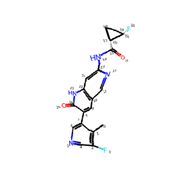 Cc1c(F)cncc1-c1cc2cnc(NC(=O)[C@@H]3C[C@@H]3F)cc2[nH]c1=O